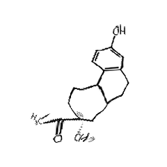 CC(=O)[C@@]1(C)CCC2c3ccc(O)cc3CCC2C1